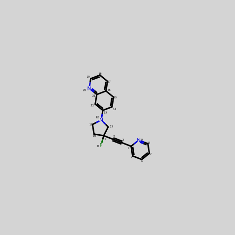 FC1(C#Cc2ccccn2)CCN(c2ccc3cccnc3c2)C1